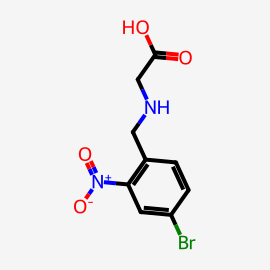 O=C(O)CNCc1ccc(Br)cc1[N+](=O)[O-]